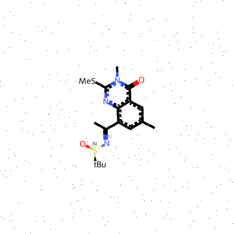 CSc1nc2c(/C(C)=N/[S@+]([O-])C(C)(C)C)cc(C)cc2c(=O)n1C